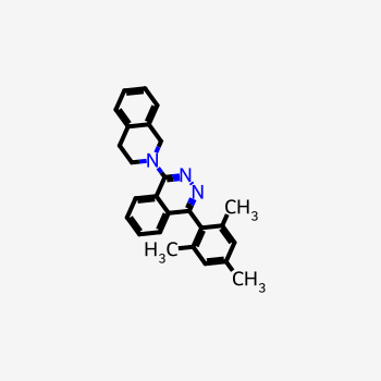 Cc1cc(C)c(-c2nnc(N3CCc4ccccc4C3)c3ccccc23)c(C)c1